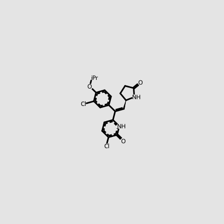 CC(C)Oc1ccc(/C(=C\[C@H]2CCC(=O)N2)c2ccc(Cl)c(=O)[nH]2)cc1Cl